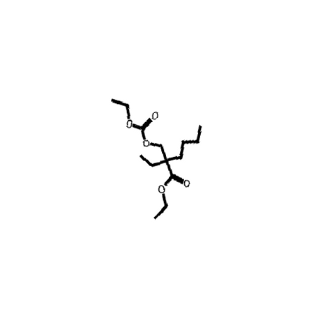 CCCCC(CC)(COC(=O)OCC)C(=O)OCC